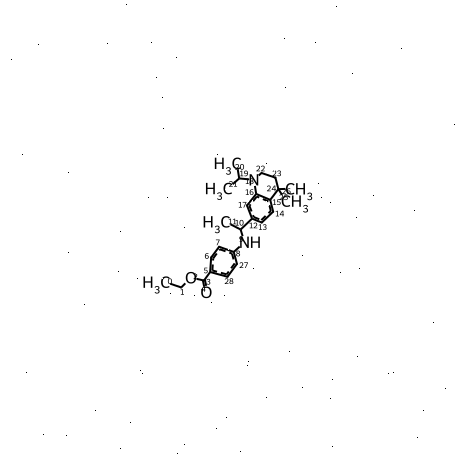 CCOC(=O)c1ccc(NC(C)c2ccc3c(c2)N(C(C)C)CCC3(C)C)cc1